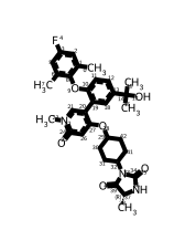 Cc1cc(F)cc(C)c1Oc1ccc(C(C)(C)O)cc1-c1cn(C)c(=O)cc1OC1CCC(N2C(=O)N[C@H](C)C2=O)CC1